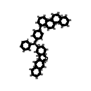 c1ccc(N(c2ccc(-c3cccc4c3ccc3c5ccccc5ccc43)cc2)c2ccc3oc4cc5ccccc5cc4c3c2)cc1